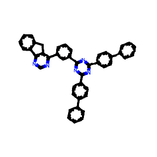 c1ccc(-c2ccc(-c3nc(-c4ccc(-c5ccccc5)cc4)nc(-c4cccc(-c5ncnc6c5Cc5ccccc5-6)c4)n3)cc2)cc1